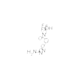 NCc1cc(OCc2cccc(C(=O)N3CCC(O)(C(F)(F)F)CC3)c2)ncn1